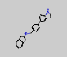 c1ccc2c(c1)CC(NCc1ccc(-c3ccc4[nH]ccc4c3)cc1)C2